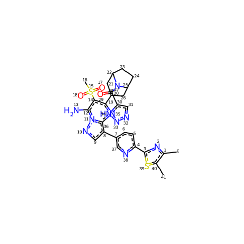 Cc1nc(-c2ccc(-c3cnn4c(N)c(S(C)(=O)=O)c(C5CC6CCC(C5)N6C(=O)c5cnn[nH]5)nc34)cn2)sc1C